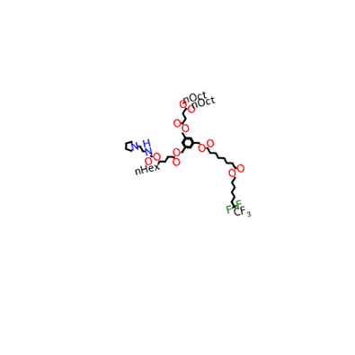 CCCCCCCCOC(CCC(=O)OCc1cc(COC(=O)CCCCCCC(=O)OCCCCCCC(F)(F)C(F)(F)F)cc(COC(=O)CCC(CCCCCC)OC(=O)NCCN2CCCC2)c1)OCCCCCCCC